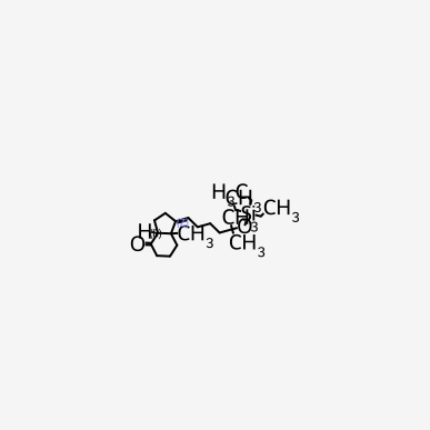 CC[Si](CC)(CC)OC(C)(C)CCC/C=C1/CC[C@H]2C(=O)CCCC12C